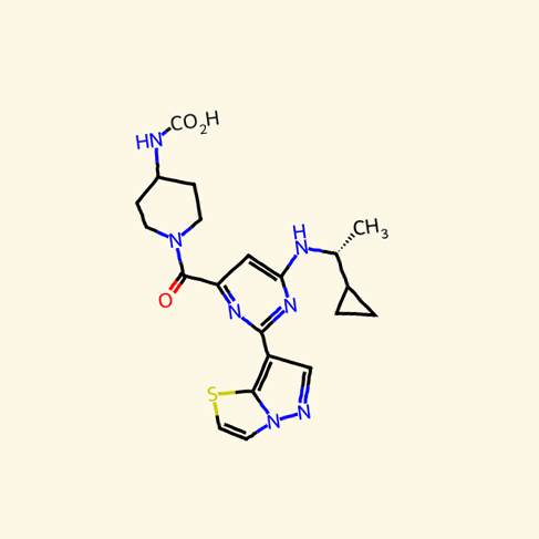 C[C@@H](Nc1cc(C(=O)N2CCC(NC(=O)O)CC2)nc(-c2cnn3ccsc23)n1)C1CC1